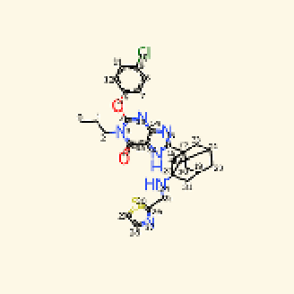 CCCn1c(Oc2ccc(Cl)cc2)nc2nc(C34CC5CC(CC(NCc6nccs6)(C5)C3)C4)[nH]c2c1=O